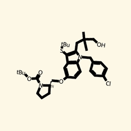 CC(C)(CO)Cc1c(SC(C)(C)C)c2cc(OC[C@@H]3CCCN3C(=O)OC(C)(C)C)ccc2n1Cc1ccc(Cl)cc1